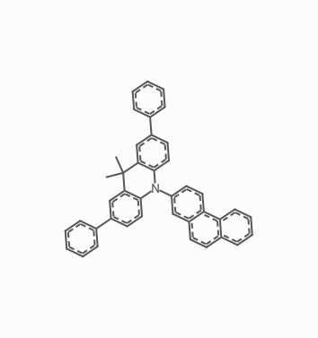 CC1(C)c2cc(-c3ccccc3)ccc2N(c2ccc3c(ccc4ccccc43)c2)c2ccc(-c3ccccc3)cc21